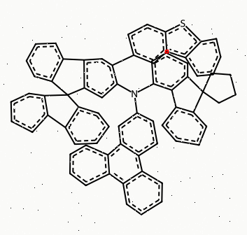 c1ccc2c(c1)-c1c(N(c3ccc4c5ccccc5c5ccccc5c4c3)c3cc4c(cc3-c3ccc5sc6ccccc6c5c3)-c3ccccc3C43c4ccccc4-c4ccccc43)cccc1C21CCCC1